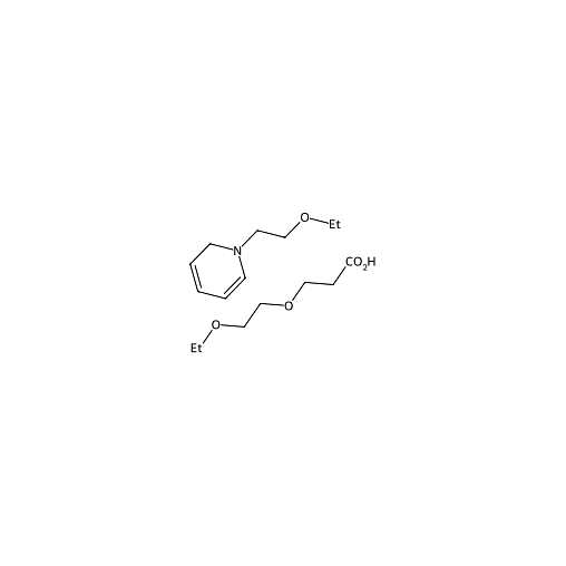 CCOCCN1C=CC=CC1.CCOCCOCCC(=O)O